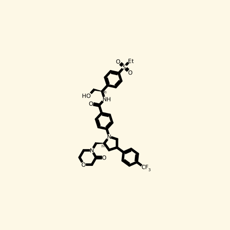 CCS(=O)(=O)c1ccc([C@H](CO)NC(=O)c2ccc(N3CC(c4ccc(C(F)(F)F)cc4)C[C@H]3CN3CCOCC3=O)cc2)cc1